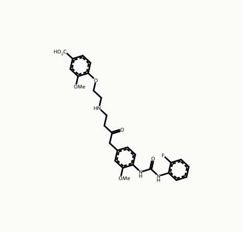 COc1cc(CC(=O)CCNCCOc2ccc(C(=O)O)cc2OC)ccc1NC(=O)Nc1ccccc1F